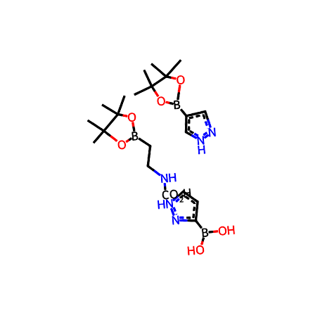 CC1(C)OB(CCNC(=O)O)OC1(C)C.CC1(C)OB(c2cn[nH]c2)OC1(C)C.OB(O)c1cc[nH]n1